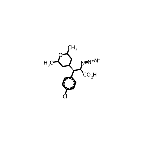 CC1CC([C@H](c2ccc(Cl)cc2)[C@@H](N=[N+]=[N-])C(=O)O)CC(C)O1